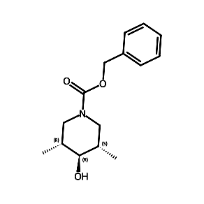 C[C@@H]1CN(C(=O)OCc2ccccc2)C[C@H](C)[C@H]1O